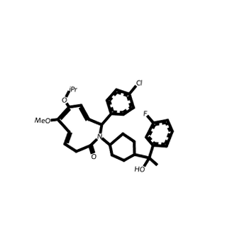 COC1=C(OC(C)C)/C=C/C(c2ccc(Cl)cc2)N(C2CCC(C(C)(O)c3cccc(F)c3)CC2)C(=O)C\C=C\1